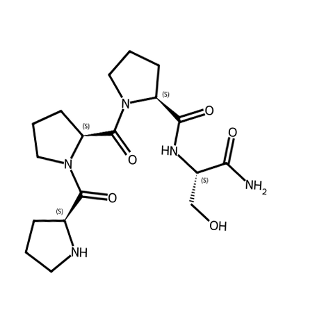 NC(=O)[C@H](CO)NC(=O)[C@@H]1CCCN1C(=O)[C@@H]1CCCN1C(=O)[C@@H]1CCCN1